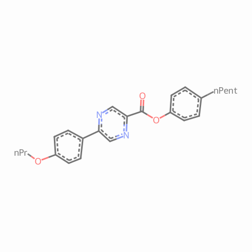 CCCCCc1ccc(OC(=O)c2cnc(-c3ccc(OCCC)cc3)cn2)cc1